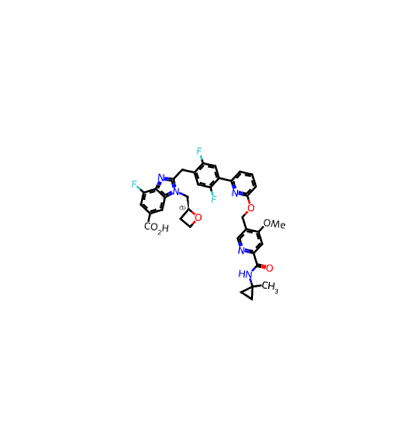 COc1cc(C(=O)NC2(C)CC2)ncc1COc1cccc(-c2cc(F)c(Cc3nc4c(F)cc(C(=O)O)cc4n3C[C@@H]3CCO3)cc2F)n1